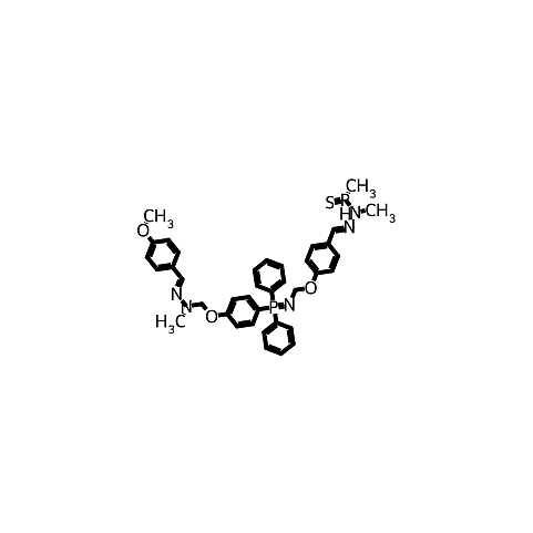 COc1ccc(C=NN(C)COc2ccc(P(=NCOc3ccc(C=NN(C)[PH](C)=S)cc3)(c3ccccc3)c3ccccc3)cc2)cc1